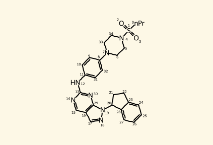 CCCS(=O)(=O)N1CCN(c2ccc(Nc3ncc4cnn(C5CCc6ccccc65)c4n3)cc2)CC1